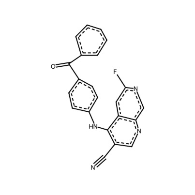 N#Cc1cnc2cnc(F)cc2c1Nc1ccc(C(=O)c2ccccc2)cc1